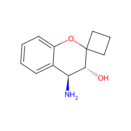 N[C@H]1c2ccccc2OC2(CCC2)[C@@H]1O